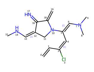 C=C/C(Cl)=C\C(=C/N(C)C)N1C/C(=C/NC)C(=N)C1=C